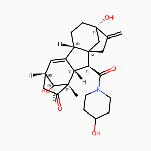 C=C1C[C@]23C[C@@]1(O)CC[C@H]2C1=C[C@H]2CC(=O)[C@@](C)([C@H]1[C@@H]3C(=O)N1CCC(O)CC1)[C@H]2O